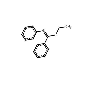 CCS/C(=N/c1ccccc1)c1ccccc1